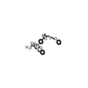 CN(C)CCN(Cc1ccccc1)C(=O)Nc1ccc(-c2nnc(CSCCOc3ccccc3)o2)cc1